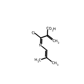 C=C(C(=O)O)/C(Cl)=N\C=C(C)C